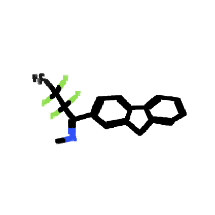 CN=C(c1ccc2c(c1)Cc1ccccc1-2)C(F)(F)C(F)(F)C(F)(F)F